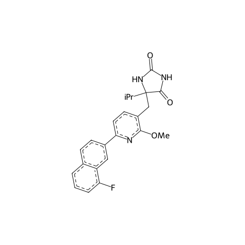 COc1nc(-c2ccc3cccc(F)c3c2)ccc1CC1(C(C)C)NC(=O)NC1=O